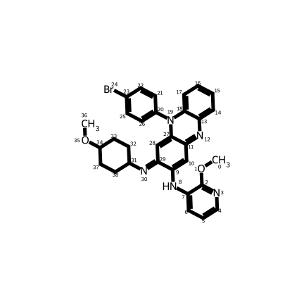 COc1ncccc1Nc1cc2nc3ccccc3n(-c3ccc(Br)cc3)c-2c/c1=N\C1CCC(OC)CC1